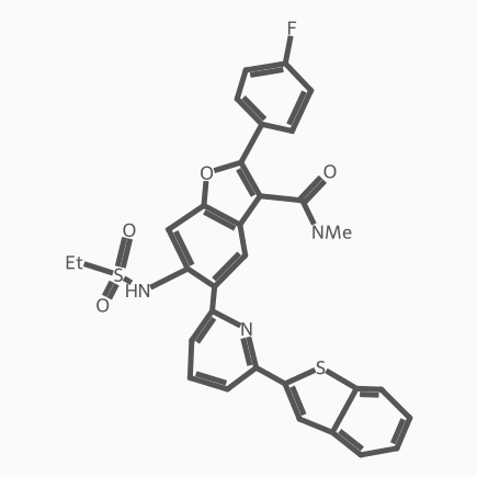 CCS(=O)(=O)Nc1cc2oc(-c3ccc(F)cc3)c(C(=O)NC)c2cc1-c1cccc(-c2cc3ccccc3s2)n1